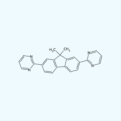 CC1(C)c2cc(-c3ncccn3)ccc2-c2ccc(-c3ncccn3)cc21